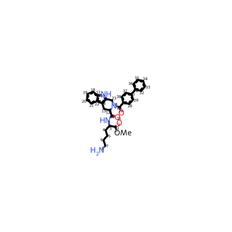 COC(=O)C(CCCCN)NC(=O)C1Cc2c([nH]c3ccccc23)CN1C(=O)c1ccc(-c2ccccc2)cc1